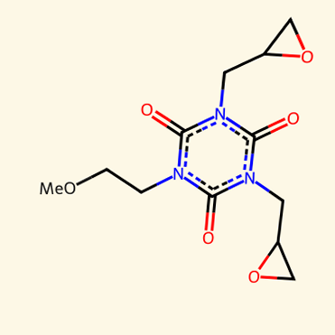 COCCn1c(=O)n(CC2CO2)c(=O)n(CC2CO2)c1=O